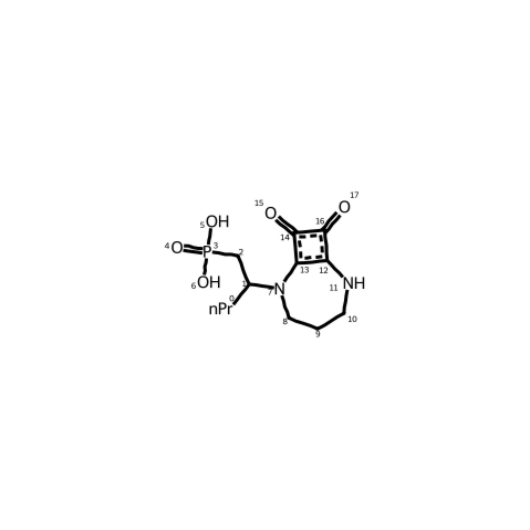 CCCC(CP(=O)(O)O)N1CCCNc2c1c(=O)c2=O